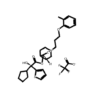 Cc1ccccc1OCCC[N+]12CCC(CC1)[C@@H](OC(=O)[C@](O)(c1cccs1)C1CCCC1)C2.O=C([O-])C(F)(F)F